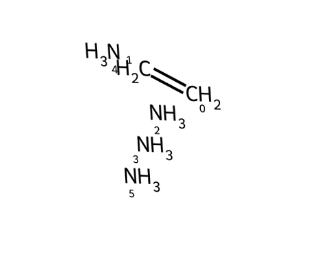 C=C.N.N.N.N